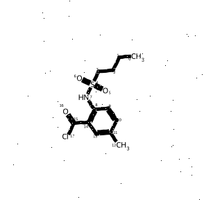 CCCCS(=O)(=O)Nc1ccc(C)cc1C(=O)Cl